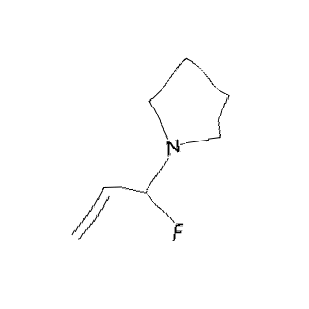 C=CC(F)N1CCCC1